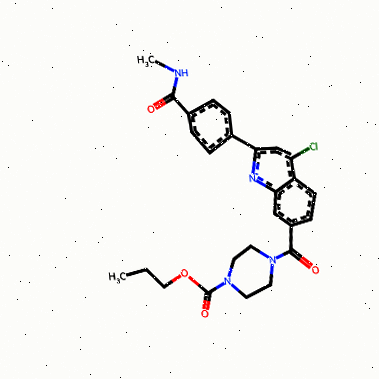 CCCOC(=O)N1CCN(C(=O)c2ccc3c(Cl)cc(-c4ccc(C(=O)NC)cc4)nc3c2)CC1